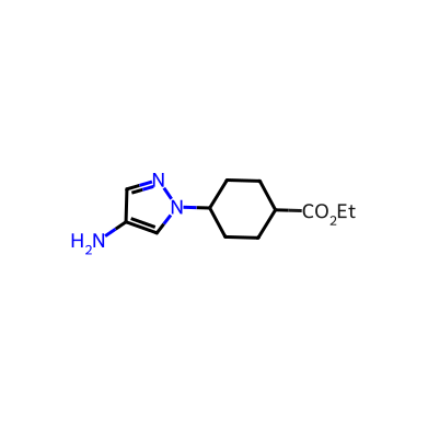 CCOC(=O)C1CCC(n2cc(N)cn2)CC1